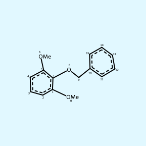 COc1cccc(OC)c1OCc1ccccc1